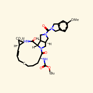 COc1ccc2c(c1)CN(C(=O)N1C[C@H]3CN4C(=O)[C@H](NC(=O)OC(C)(C)C)CCCCC/C=C\[C@H]5C[C@@]5(C(=O)O)NC(=O)[C@@H]4[C@H]3C1)C2